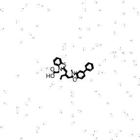 CC/C(C=C1Sc2ccccc2N1CC(=O)O)=C/c1oc2ccc(-c3ccccc3)cc2[n+]1C